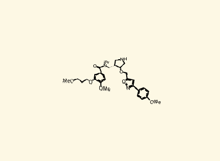 COCCCOc1cc(C(=O)N(C[C@@H]2CNC[C@H]2OCc2cc(-c3ccc(OC)cc3)no2)C(C)C)ccc1OC